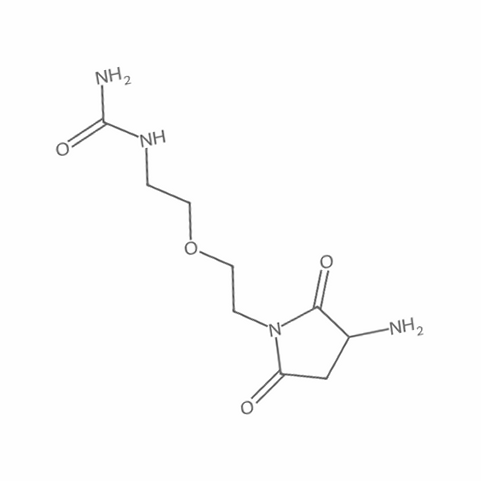 NC(=O)NCCOCCN1C(=O)CC(N)C1=O